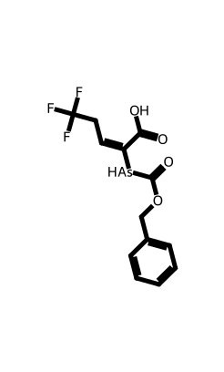 O=C(OCc1ccccc1)[AsH]C(=CCC(F)(F)F)C(=O)O